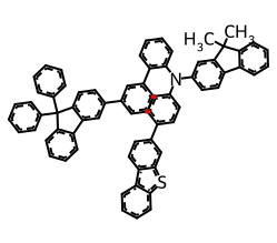 CC1(C)c2ccccc2-c2ccc(N(c3ccc(-c4ccc5c(c4)sc4ccccc45)cc3)c3ccccc3-c3cccc(-c4ccc5c(c4)-c4ccccc4C5(c4ccccc4)c4ccccc4)c3)cc21